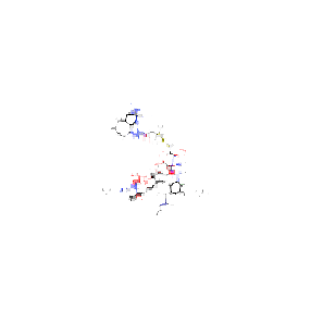 C=C/C=C(\C)Cc1cc(OC)c(Cl)c(N(C)C(=O)C[C@H](OC(=O)[C@H](C)N(C)C(=O)CCSSC(C)(C)CC(=O)N/N=C2/CCCCc3cc(N)ccc32)C(C)(O)C(=C)[C@H](C)[C@@H]2C[C@](O)([C@@H](C)OC)NC(=O)O2)c1